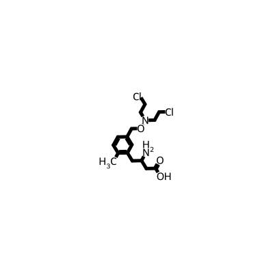 Cc1ccc(CON(CCCl)CCCl)cc1CC(N)CC(=O)O